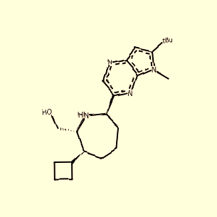 Cn1c(C(C)(C)C)cc2ncc([C@H]3CCC[C@@H](C4CCC4)[C@H](CO)N3)nc21